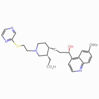 COc1ccc2nccc([C@H](O)CC[C@@H]3CCN(CCSc4cnccn4)C[C@@H]3CC(=O)O)c2c1